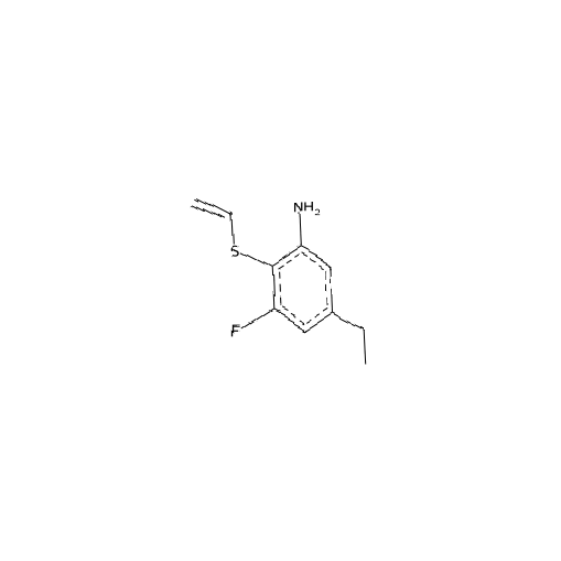 C=CSc1c(N)cc(CC)cc1F